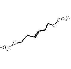 O=C(O)OCCC=CCCOC(=O)O